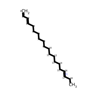 C=CC=CCCCCCCCCCCCC/[C]=C/CC